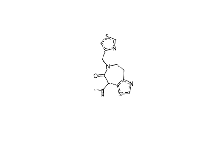 CNC1C(=O)N(Cc2cscn2)CCc2ncsc21